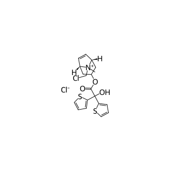 C[N+]1(CCl)[C@@H]2C=C[C@H]1CC(OC(=O)C(O)(c1cccs1)c1cccs1)C2.[Cl-]